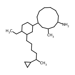 CCC1CCC(C2CCCCCCC(N)CC(C)C2)CC1CCCCC(C)C1CC1